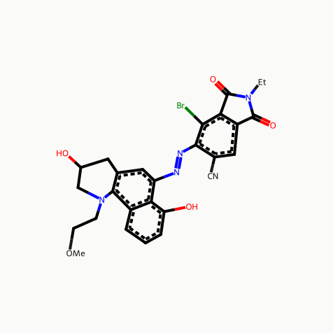 CCN1C(=O)c2cc(C#N)c(/N=N/c3cc4c(c5cccc(O)c35)N(CCOC)CC(O)C4)c(Br)c2C1=O